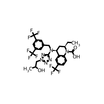 CC[C@@H]1C[C@H](N(Cc2cc(C(F)(F)F)cc(C(F)(F)F)c2)c2nnn(CC(C)O)n2)c2cc(C(F)(F)F)ccc2N1C(=O)O